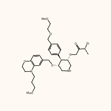 CCN(C)C(=O)CO[C@@H]1CNC[C@H](OCc2ccc3c(c2)N(CCCOC)CCO3)[C@H]1c1ccc(COCCOC)cc1